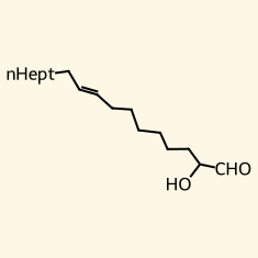 CCCCCCCCC=CCCCCCCC(O)C=O